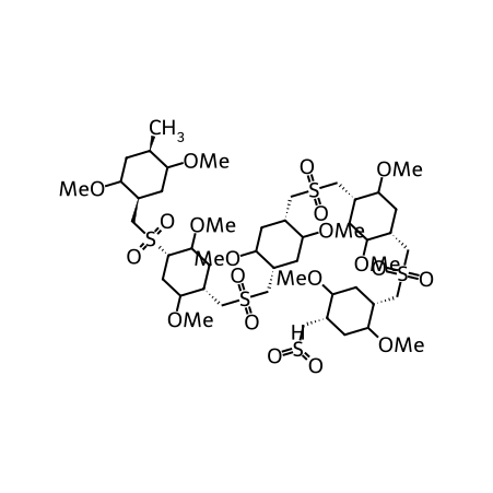 COC1C[C@H](CS(=O)(=O)C[C@H]2CC(OC)[C@@H](CS(=O)(=O)C[C@H]3CC(OC)[C@@H](CS(=O)(=O)C[C@H]4CC(OC)[C@@H](S(=O)(=O)C[C@@H]5CC(OC)[C@H](C)CC5OC)CC4OC)CC3OC)CC2OC)C(OC)C[C@@H]1C[SH](=O)=O